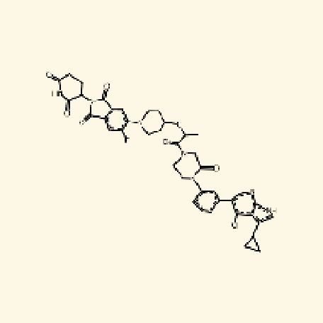 CC(OC1CCN(c2cc3c(cc2F)C(=O)N(C2CCC(=O)NC2=O)C3=O)CC1)C(=O)N1CCN(c2cccc(-c3cnc4[nH]cc(C5CC5)c4c3Cl)c2)C(=O)C1